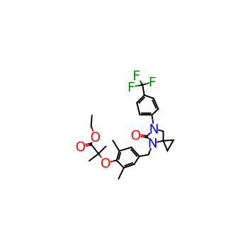 CCOC(=O)C(C)(C)Oc1c(C)cc(CN2C(=O)N(c3ccc(C(F)(F)F)cc3)CC23CC3)cc1C